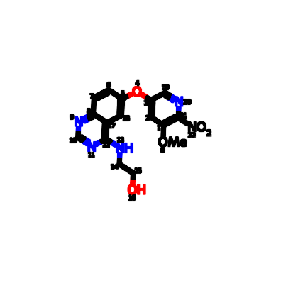 COc1cc(Oc2ccc3ncnc(NCCO)c3c2)cnc1[N+](=O)[O-]